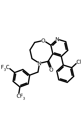 O=C1c2c(-c3ccccc3Cl)ccnc2OCCCN1Cc1cc(C(F)(F)F)cc(C(F)(F)F)c1